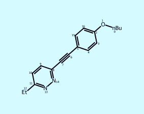 CCCCOc1ccc(C#Cc2ccc(CC)nn2)cc1